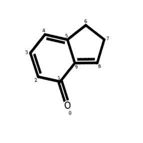 O=C1C=CC=C2CCC=C12